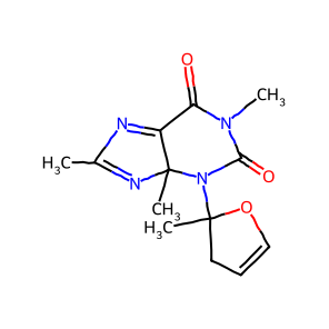 CC1=NC2(C)C(=N1)C(=O)N(C)C(=O)N2C1(C)CC=CO1